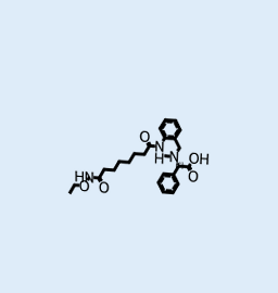 CCONC(=O)CCCCCCC(=O)Nc1ccccc1CN(C)[C@H](C(=O)O)c1ccccc1